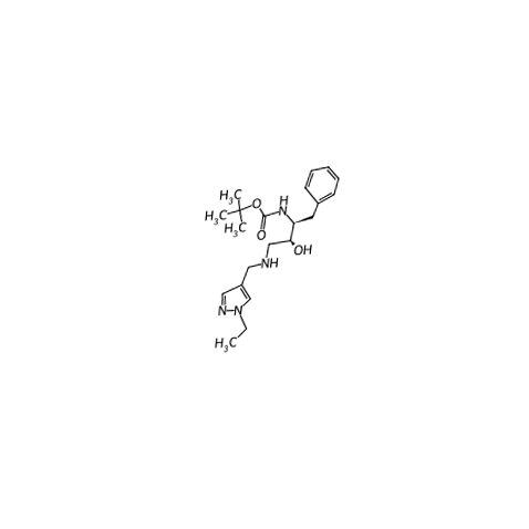 CCn1cc(CNC[C@H](O)[C@H](Cc2ccccc2)NC(=O)OC(C)(C)C)cn1